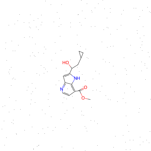 COC(=O)c1ccnc2cc(C(O)CC3CC3)[nH]c12